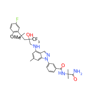 COc1ccc(F)cc1C(C)(C)CC(O)(CNc1cc(C)cc2c1cnn2-c1cccc(C(=O)NC(C)(C)C(N)=O)c1)C(F)(F)F